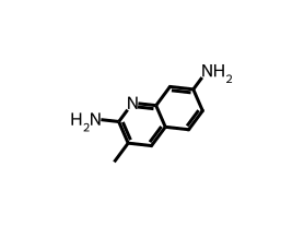 Cc1cc2ccc(N)cc2nc1N